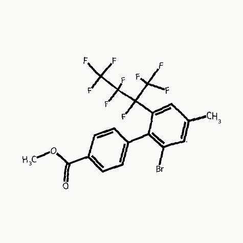 COC(=O)c1ccc(-c2c(Br)[c]c(C)cc2C(F)(C(F)(F)F)C(F)(F)C(F)(F)F)cc1